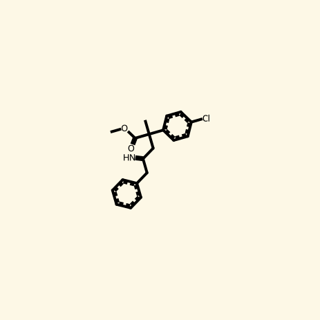 COC(=O)C(C)(CC(=N)Cc1ccccc1)c1ccc(Cl)cc1